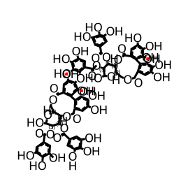 O=C(O[C@@H]1[C@H]2OC(=O)c3cc(O)c(O)c(O)c3-c3c(cc(O)c(Oc4c(C(=O)O[C@@H]5C(O)O[C@@H]6COC(=O)c7cc(O)c(O)c(O)c7-c7c(cc(O)c(O)c7O)C(=O)O[C@@H]6[C@@H]5OC(=O)c5cc(O)c(O)c(O)c5)cc(O)c(O)c4O)c3O)C(=O)OC[C@@H]2OC(O)[C@H]1OC(=O)c1cc(O)c(O)c(O)c1)c1cc(O)c(O)c(O)c1